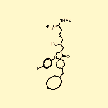 CC(=O)NC(CSCC(O)CN1CN(c2ccc(F)cc2)C2(CCN(CC3CCCCCCC3)CC2)C1=O)C(=O)O